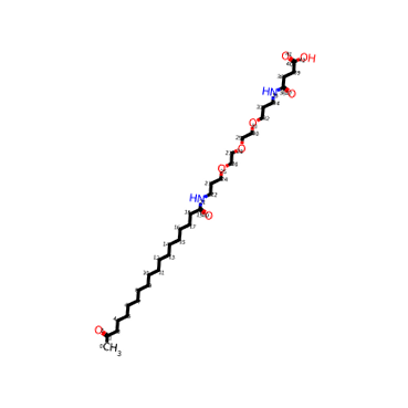 CC(=O)CCCCCCCCCCCCCCCCC(=O)NCCCOCCOCCOCCCNC(=O)CCC(=O)O